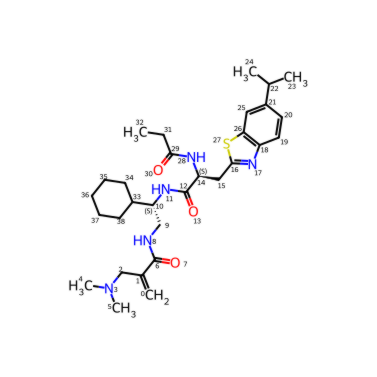 C=C(CN(C)C)C(=O)NC[C@@H](NC(=O)[C@H](Cc1nc2ccc(C(C)C)cc2s1)NC(=O)CC)C1CCCCC1